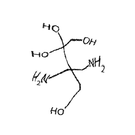 NC(N)(CO)C(O)(O)O